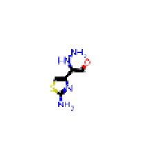 NNC([C]=O)c1csc(N)n1